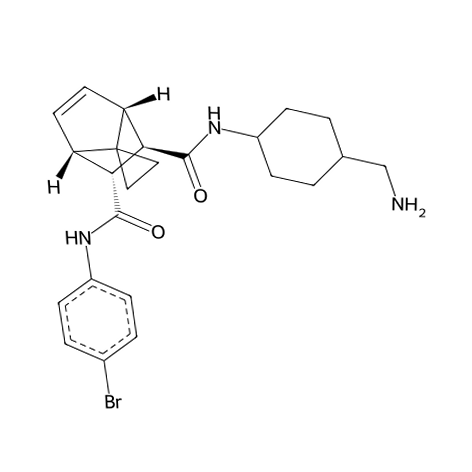 NCC1CCC(NC(=O)[C@H]2[C@H](C(=O)Nc3ccc(Br)cc3)[C@@H]3C=C[C@H]2C32CC2)CC1